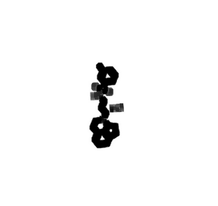 Cc1cccc(S(=O)(=O)NCCCN2CCc3cccc4c3C2CC4)c1.Cl